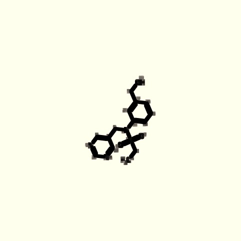 O=S(=O)(CC(F)(F)F)N(Cc1cncnc1)c1cccc(CO)c1